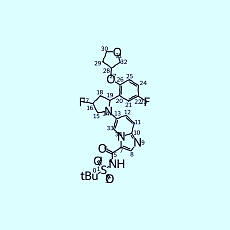 CC(C)(C)S(=O)(=O)NC(=O)c1cnc2ccc(N3CC(F)CC3c3cc(F)ccc3OC3CCOC3)cn12